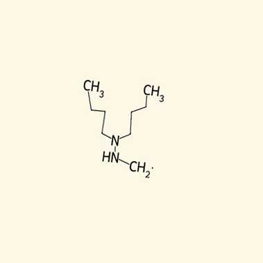 [CH2]NN(CCCC)CCCC